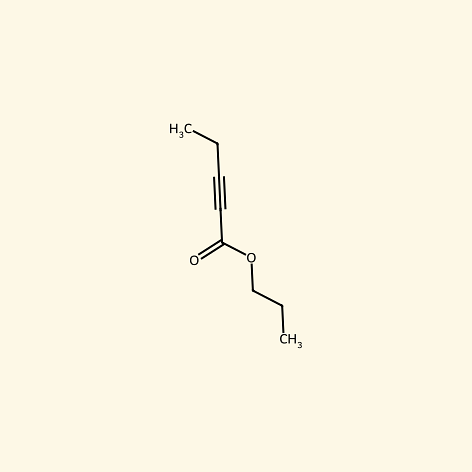 CCC#CC(=O)OCCC